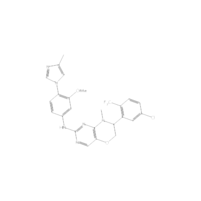 COc1cc(Nc2ncc3c(n2)N(C)C(c2cc(Cl)ccc2C(F)(F)F)CO3)ccc1-n1cnc(C)c1